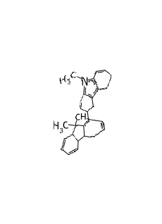 Cn1c2c(c3c1C=CC(C1=C4C(CC=C1)C1C=CC=CC1C4(C)C)C3)CCC=C2